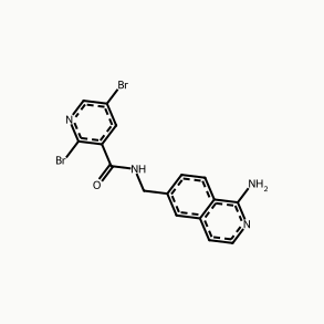 Nc1nccc2cc(CNC(=O)c3cc(Br)cnc3Br)ccc12